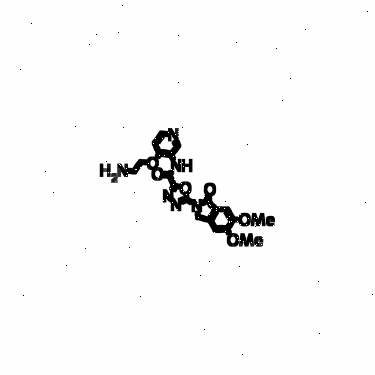 COc1cc2c(cc1OC)C(=O)N(c1nnc(C(=O)Nc3cnccc3OCCN)o1)C2